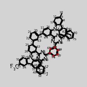 Cc1ccc2c(c1)c1cc(C)ccc1n2-c1ccc(-c2cccc(-c3ccc(-n4c5ccc(C(F)(F)F)cc5c5cc(C(F)(F)F)ccc54)c(-c4nc(-c5ccccc5)nc(-c5ccccc5)n4)c3)c2)cc1-c1nc(-c2ccccc2)nc(-c2ccccc2)n1